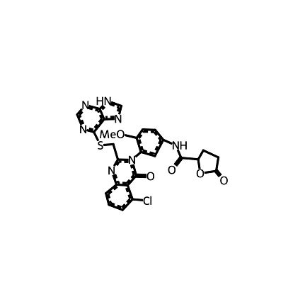 COc1ccc(NC(=O)C2CCC(=O)O2)cc1-n1c(CSc2ncnc3[nH]cnc23)nc2cccc(Cl)c2c1=O